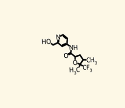 CC1CC(C(=O)Nc2ccnc(CO)c2)OC1(C)C(F)(F)F